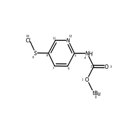 CC(C)(C)OC(=O)Nc1ccc(SCl)cn1